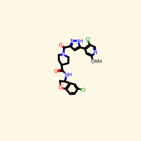 COc1cc(-c2cc(C(=O)N3CCC(C(=O)NC4COc5ccc(Cl)cc54)CC3)n[nH]2)c(Cl)cn1